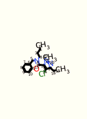 CCCCN(Cc1ccccc1)C(=O)c1c(Cl)c(CC)nn1C